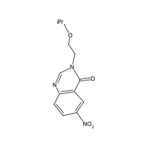 CC(C)OCCn1cnc2ccc([N+](=O)[O-])cc2c1=O